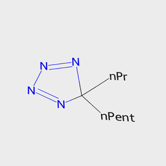 [CH2]CCC1(CCCCC)N=NN=N1